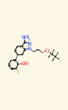 CC(C)(C)[Si](C)(C)OCCCn1nc(N)c2ccc(-c3cccc(F)c3O)cc21